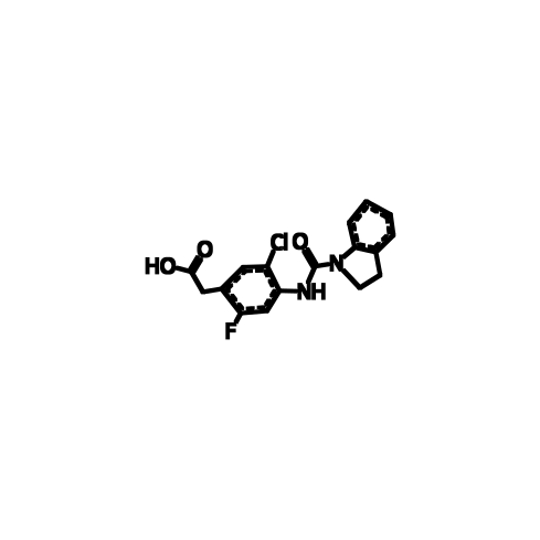 O=C(O)Cc1cc(Cl)c(NC(=O)N2CCc3ccccc32)cc1F